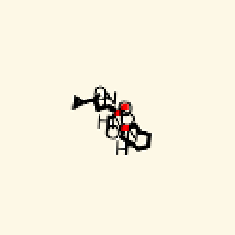 CC(C)(C)OC(=O)N1C2CCC[C@@H]1C[C@H](NC(=O)c1cc(C3CC3)on1)C2